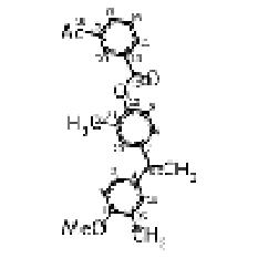 COc1ccc(C(C)c2ccc(OC(=O)c3cccc(C(C)=O)c3)c(C)c2)cc1C